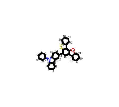 c1ccc(-n2c3ccccc3c3cc(-c4cc5c6ccccc6oc5c5c4sc4ccccc45)ccc32)cc1